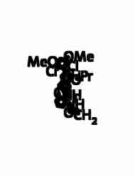 C=CC(=O)Nc1cccc(C)c1Nc1cc2c(OC(C)C)nc(-c3c(Cl)c(OC)cc(OC)c3Cl)cc2cn1